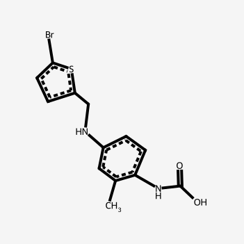 Cc1cc(NCc2ccc(Br)s2)ccc1NC(=O)O